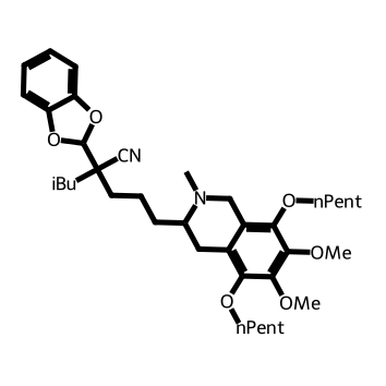 CCCCCOc1c2c(c(OCCCCC)c(OC)c1OC)CN(C)C(CCCC(C#N)(C(C)CC)C1Oc3ccccc3O1)C2